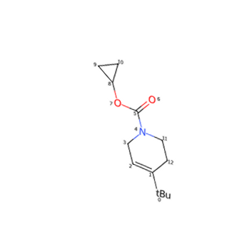 CC(C)(C)C1=CCN(C(=O)OC2CC2)CC1